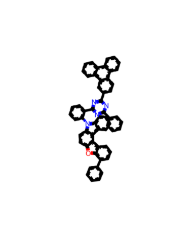 c1ccc(-c2nc(-c3ccc4c5ccccc5c5ccccc5c4c3)nc(-c3ccccc3-n3c4ccccc4c4c5c(ccc43)oc3c(-c4ccccc4)cccc35)n2)cc1